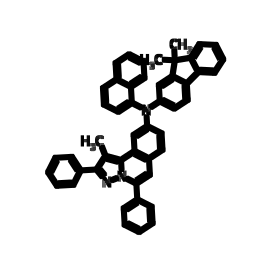 Cc1c(-c2ccccc2)nn2c(-c3ccccc3)cc3ccc(N(c4ccc5c(c4)C(C)(C)c4ccccc4-5)c4cccc5ccccc45)cc3c12